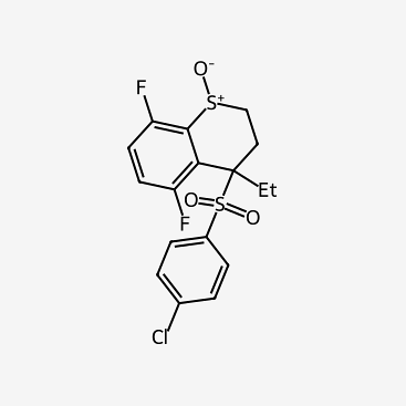 CCC1(S(=O)(=O)c2ccc(Cl)cc2)CC[S+]([O-])c2c(F)ccc(F)c21